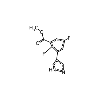 COC(=O)c1cc(F)cc(-c2cn[nH]c2)c1F